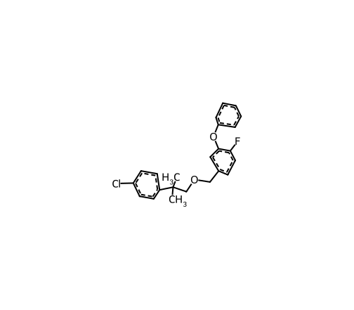 CC(C)(COCc1ccc(F)c(Oc2ccccc2)c1)c1ccc(Cl)cc1